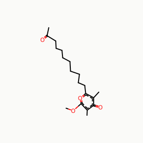 COc1oc(CCCCCCCCCC(C)=O)c(C)c(=O)c1C